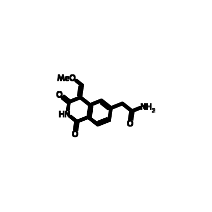 COC=C1C(=O)NC(=O)c2ccc(CC(N)=O)cc21